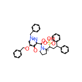 O=C(c1nn(Cc2ccccc2)cc(OCc2ccccc2)c1=O)N1CCC[C@@H]1C(CC(c1ccccc1)c1ccccc1)S(=O)(=O)O